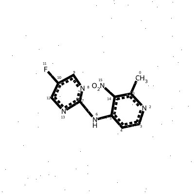 Cc1nccc(Nc2ncc(F)cn2)c1[N+](=O)[O-]